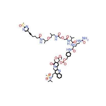 CC[C@@]1(OC(=O)OCc2ccc(NC(=O)[C@H](CCCNC(N)=O)NC(=O)[C@@H](NC(=O)COCC(=O)NCC(C)COCC(C)CNC(=O)CCCC#Cc3cnc([S+](C)[O-])nc3)C(C)C)cc2)C(=O)OCc2c1cc1n(c2=O)Cc2c-1nc1ccccc1c2CCN(C(C)C)S(C)(=O)=O